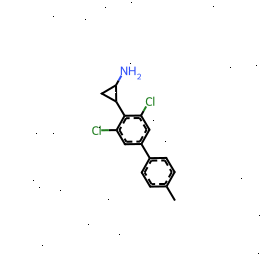 Cc1ccc(-c2cc(Cl)c(C3CC3N)c(Cl)c2)cc1